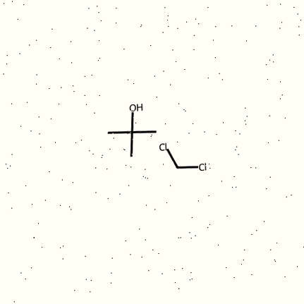 CC(C)(C)O.ClCCl